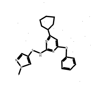 Cn1cc(SNc2nc(Oc3ccccc3)cc(C3CCCCC3)n2)cn1